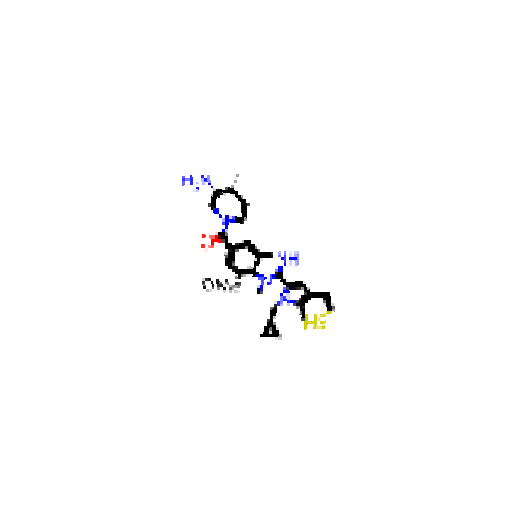 COc1cc(C(=O)N2CC[C@@H](C)[C@@H](N)C2)cc(C)c1N(C)C(=N)c1cc(/C=C\S)c(C)n1CC1CC1